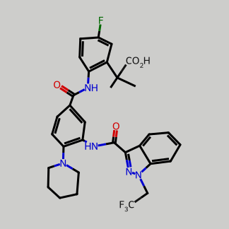 CC(C)(C(=O)O)c1cc(F)ccc1NC(=O)c1ccc(N2CCCCC2)c(NC(=O)c2nn(CC(F)(F)F)c3ccccc23)c1